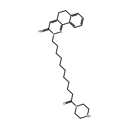 N=c1cc2c(nn1CCCCCCCCCCC(=O)N1CCNCC1)-c1ccccc1CC2